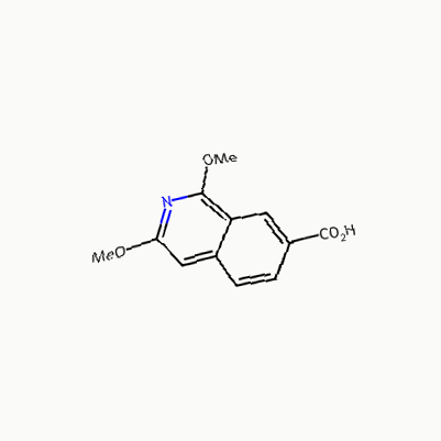 COc1cc2ccc(C(=O)O)cc2c(OC)n1